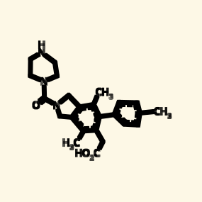 Cc1ccc(-c2c(C)c3c(c(C)c2CC(=O)O)CN(C(=O)N2CCNCC2)C3)cc1